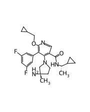 C[C@H](NC(=O)c1cnc(OCC2CC2)c(-c2cc(F)cc(F)c2)c1N1CC[C@](C)(N)C1)C1CC1